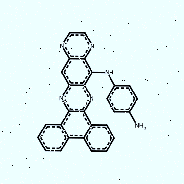 Nc1ccc(Nc2c3nccnc3cc3nc4c5ccccc5c5ccccc5c4nc23)cc1